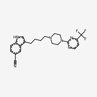 N#Cc1ccc2[nH]cc(CCCCN3CCN(c4nccc(C(F)(F)F)n4)CC3)c2c1